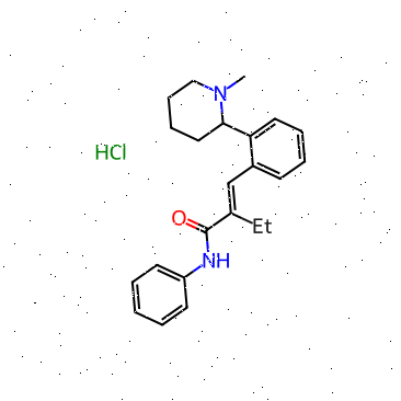 CCC(=Cc1ccccc1C1CCCCN1C)C(=O)Nc1ccccc1.Cl